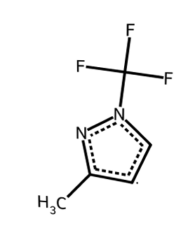 Cc1[c]cn(C(F)(F)F)n1